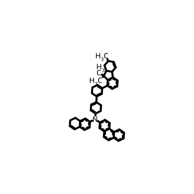 CC1C=CC2c3cccc(C4=CCCC(C5=CC=C(N(c6ccc7c(c6)CCC=C7)c6ccc7c(ccc8ccccc87)c6)CC5)=C4)c3C(C)(C)C2C1